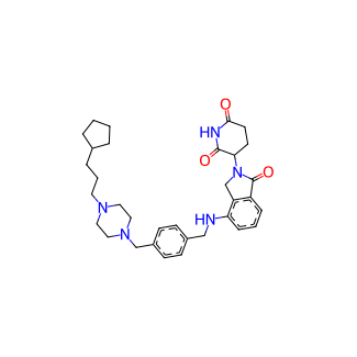 O=C1CCC(N2Cc3c(NCc4ccc(CN5CCN(CCCC6CCCC6)CC5)cc4)cccc3C2=O)C(=O)N1